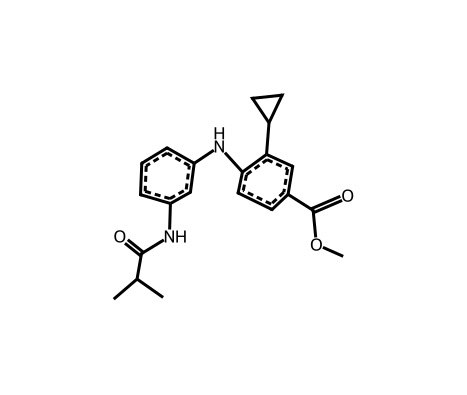 COC(=O)c1ccc(Nc2cccc(NC(=O)C(C)C)c2)c(C2CC2)c1